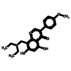 CCN(CC)Cc1c(O)cc(O)c2c(=O)c(-c3ccc(OC)cc3)coc12